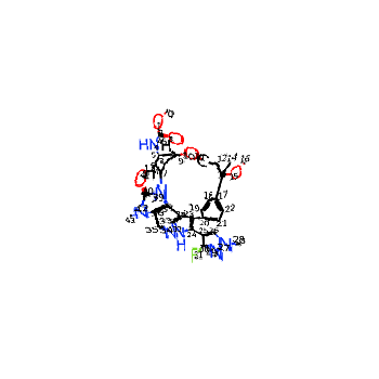 COC(=O)N[C@H]1C[C@H]2C[C@H]1OCCC(C)(OC)c1ccc(cc1)-c1c(-c3cn(C)nc3F)[nH]c3ncc4c(c13)n2c(=O)n4C